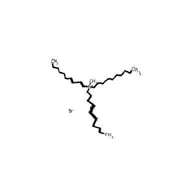 CCCCCCCCCC[N+](C)(CCCCCCCCCC)CCCCCCCCCC.[Br-]